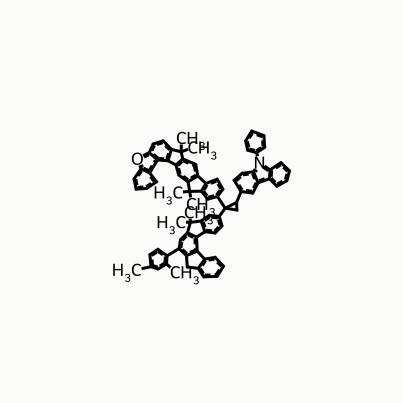 Cc1ccc(-c2cc3c(c4c2Cc2ccccc2-4)-c2ccc(C4(c5ccc6c(c5)C(C)(C)c5cc7c(cc5-6)C(C)(C)c5ccc6oc8ccccc8c6c5-7)CC4c4ccc5c(c4)c4ccccc4n5-c4ccccc4)cc2C3(C)C)c(C)c1